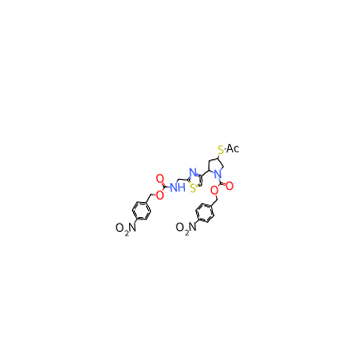 CC(=O)SC1CC(c2csc(CNC(=O)OCc3ccc([N+](=O)[O-])cc3)n2)N(C(=O)OCc2ccc([N+](=O)[O-])cc2)C1